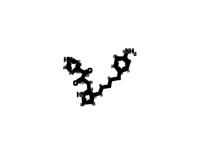 Nc1ccc(CCCCCc2cc[nH]c2CC(=O)C(=O)c2nc[nH]n2)cc1